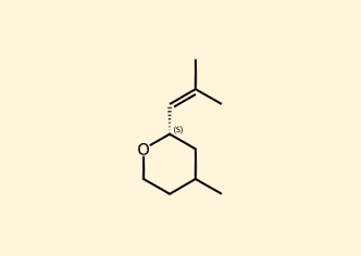 CC(C)=C[C@@H]1CC(C)CCO1